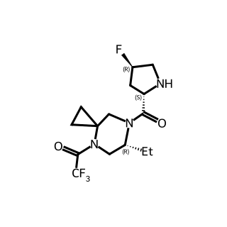 CC[C@@H]1CN(C(=O)C(F)(F)F)C2(CC2)CN1C(=O)[C@@H]1C[C@@H](F)CN1